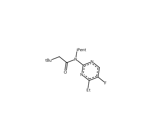 CCCC(C)N(C(=O)CC(C)(C)C)c1ncc(F)c(CC)n1